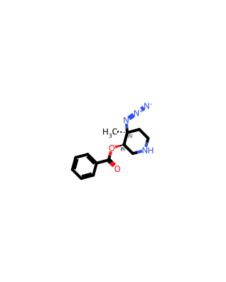 C[C@]1(N=[N+]=[N-])CCNC[C@H]1OC(=O)c1ccccc1